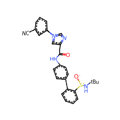 CC(C)(C)N[S+]([O-])c1ccccc1-c1ccc(NC(=O)c2cn(-c3cccc(C#N)c3)cn2)cc1